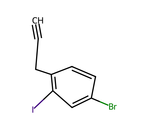 C#CCc1ccc(Br)cc1I